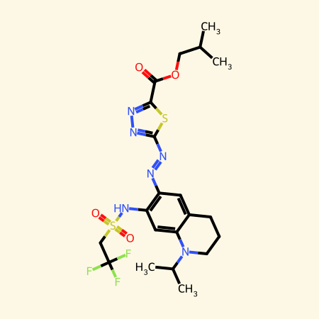 CC(C)COC(=O)c1nnc(N=Nc2cc3c(cc2NS(=O)(=O)CC(F)(F)F)N(C(C)C)CCC3)s1